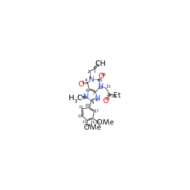 C#CCn1c(=O)c2c(nc(-c3ccc(OC)c(OC)c3)n2C)n(CC(=O)CC)c1=O